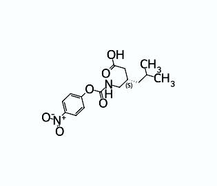 CC(C)C[C@H](CNC(=O)Oc1ccc([N+](=O)[O-])cc1)CC(=O)O